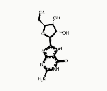 Nc1nc2nc(C3O[C@@H](CO)[C@H](O)[C@@H]3O)[nH]c2c(=O)[nH]1